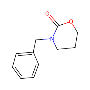 O=C1OCCCN1Cc1ccccc1